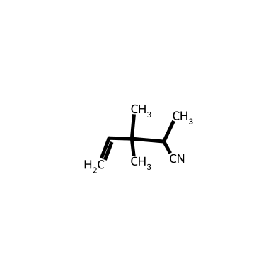 C=CC(C)(C)C(C)C#N